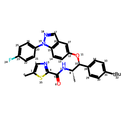 Cc1cnc(C(=O)N[C@@H](C)[C@@H](Oc2ccc3c(cnn3-c3ccc(F)cc3)c2)c2ccc(C(C)(C)C)cc2)s1